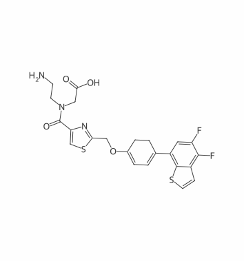 NCCN(CC(=O)O)C(=O)c1csc(COC2=CC=C(c3cc(F)c(F)c4ccsc34)CC2)n1